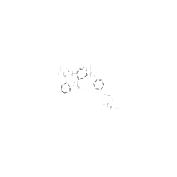 CN1CCC(c2ccc(Nc3cc4c(cn3)N(C)C(=O)c3ccccc3N4C)cc2)CC1